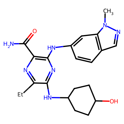 CCc1nc(C(N)=O)c(Nc2ccc3cnn(C)c3c2)nc1NC1CCC(O)CC1